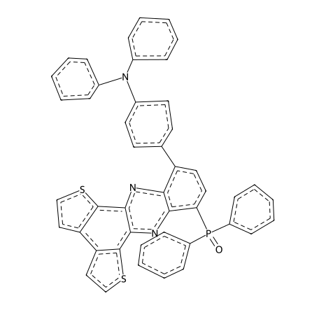 O=P(c1ccccc1)(c1ccccc1)c1ccc(-c2ccc(N(c3ccccc3)c3ccccc3)cc2)c2nc3c(nc12)c1sccc1c1ccsc13